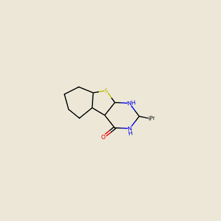 CC(C)C1NC(=O)C2C(N1)SC1CCCCC12